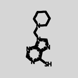 Sc1ncnc2c1ncn2CN1CCCCC1